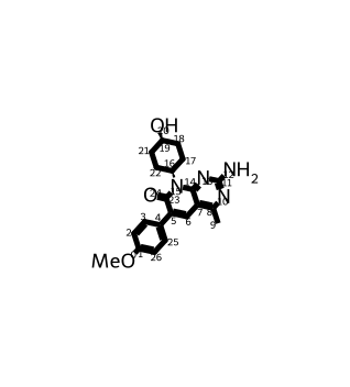 COc1ccc(-c2cc3c(C)nc(N)nc3n([C@H]3CC[C@H](O)CC3)c2=O)cc1